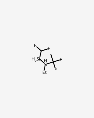 CC[SiH]([SiH2]C(F)F)C(C)(F)F